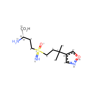 CC(C)(CCS(=N)(=O)CC[C@H](N)C(=O)O)c1cnoc1